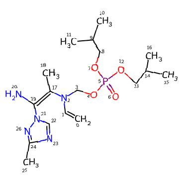 C=CN(COP(=O)(OCC(C)C)OCC(C)C)/C(C)=C(/N)n1cnc(C)n1